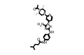 CC(=O)N1[C@H](C)CN(c2cc(-n3nc(Nc4ccc(NC(=O)CCC(C)C)cc4)nc3N)ccn2)C[C@@H]1C